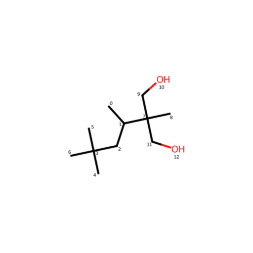 CC(CC(C)(C)C)C(C)(CO)CO